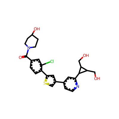 O=C(c1ccc(-c2cc(-c3ccnc(C4C(CO)C4CO)c3)cs2)c(Cl)c1)N1CCC(O)CC1